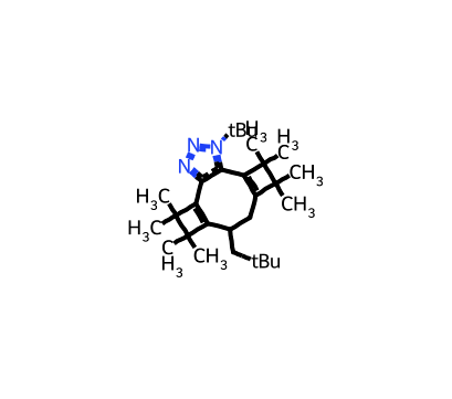 CC(C)(C)CC1CC2=C(c3c(nnn3C(C)(C)C)C3=C1C(C)(C)C3(C)C)C(C)(C)C2(C)C